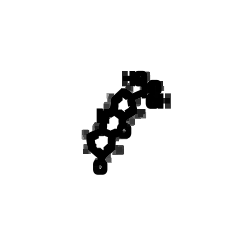 O=c1ccc2nc3ccc(P(=O)(O)O)cc3oc-2c1